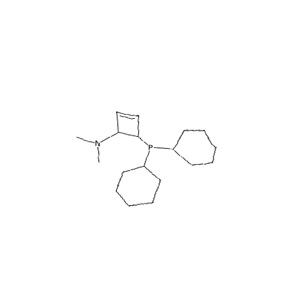 CN(C)C1C=CC1P(C1CCCCC1)C1CCCCC1